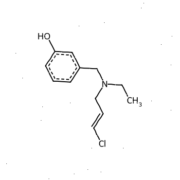 CCN(CC=CCl)Cc1cccc(O)c1